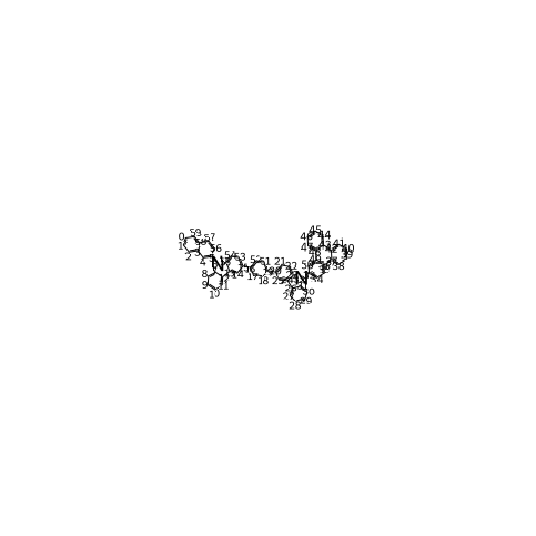 c1ccc2cc(-n3c4ccccc4c4cc(-c5ccc(-c6ccc7c(c6)c6ccccc6n7-c6ccc7c8ccccc8c8ccccc8c7c6)cc5)ccc43)ccc2c1